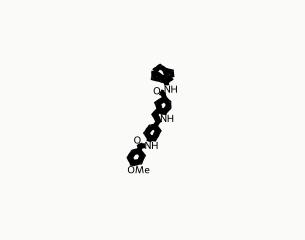 COc1ccc(C(=O)Nc2ccc(-c3cc4cc(C(=O)NC5C6CC7CC(C6)CC5C7)ccc4[nH]3)cc2)cc1